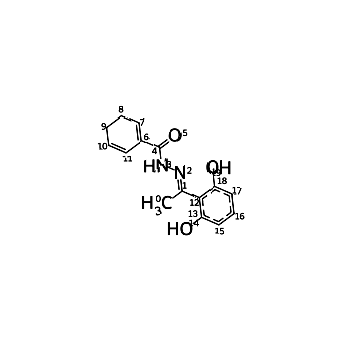 C/C(=N\NC(=O)C1=CCCC=C1)c1c(O)cccc1O